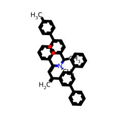 C=C(/C=C(/c1ccccc1)N(C)C(C)c1ccc(-c2ccc(C)cc2)cc1)c1cc(-c2ccccc2)cc(-c2ccccc2)c1